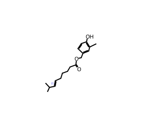 Cc1cc(COC(=O)CCCC/C=C/C(C)C)ccc1O